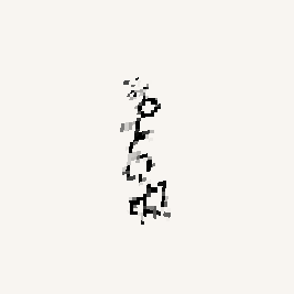 NS(=O)(=O)c1cccc(NC(=O)CN2CCN(c3nc[nH]c4nccc3-4)CC2)c1